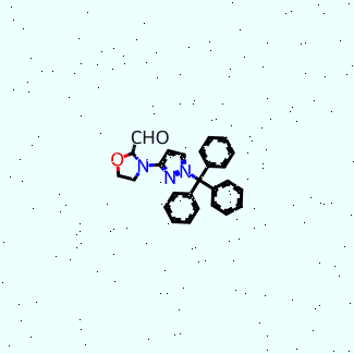 O=CC1OCCN1c1ccn(C(c2ccccc2)(c2ccccc2)c2ccccc2)n1